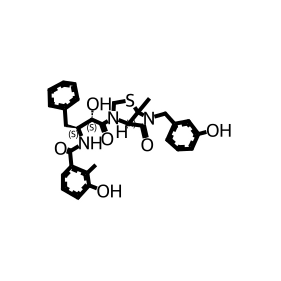 Cc1c(O)cccc1C(=O)N[C@@H](Cc1ccccc1)[C@H](O)C(=O)N1CSC2(C)[C@H]1C(=O)N2Cc1cccc(O)c1